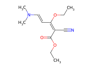 CCOC(=O)C(C#N)=C(/C=C/N(C)C)OCC